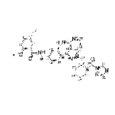 COc1ccc(F)cc1C(=O)NCc1ccc(-c2nn(C[C@H]3CCCCN3C(=O)n3cncn3)c3ncnc(N)c23)cc1